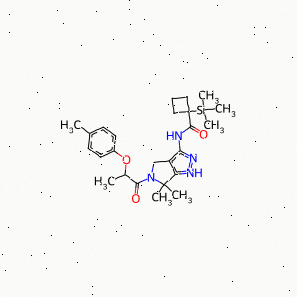 Cc1ccc(OC(C)C(=O)N2Cc3c(NC(=O)C4([Si](C)(C)C)CCC4)n[nH]c3C2(C)C)cc1